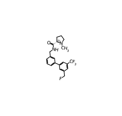 CN1CCC[C@H]1C(=O)NCc1cccc(-c2cc(CF)cc(C(F)(F)F)c2)c1